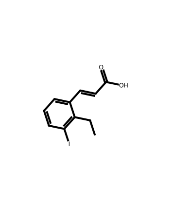 CCc1c(I)cccc1/C=C/C(=O)O